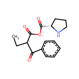 CCC(C(=O)OC(=O)[C@@H]1CCCN1)C(=O)c1ccccc1